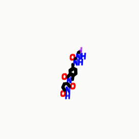 O=C1CCC(N2Cc3ccc(CNC(=O)NCI)cc3C2=O)C(=O)N1